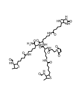 CC1CSC(CCCCC(=O)NCCCCC(NC(=O)C(CCCCNC(=O)CCCCC2NCC3NC(=O)NC23)NC(=O)C(CCCCNC(=O)CCCCC2SCC(C)C2NC=O)NC(=O)CCN2C(=O)C=CC2=O)C(N)=O)C1NC=O